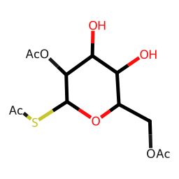 CC(=O)OCC1OC(SC(C)=O)C(OC(C)=O)C(O)C1O